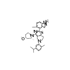 CO[C@@H]1CCN(c2nc(-c3c(C)ccc4[nH]ncc34)nc3c2CN(c2cc(C(C)C)ccc2C)CC3)[C@H](C)C1